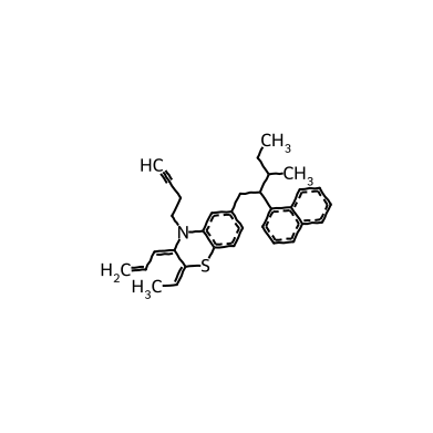 C#CCCN1C(=C/C=C)/C(=C\C)Sc2ccc(CC(c3cccc4ccccc34)C(C)CC)cc21